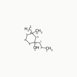 CCCC1(O)CCCC(C)(C)C1